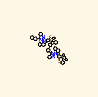 c1cc(-c2ccc3c(c2)-c2ccccc2C32c3ccccc3Sc3cc4c(cc32)c2ccc3ccccc3c2n4-c2nc(-c3ccc4ccccc4c3)c3ccccc3n2)cc(-c2nc(-n3c4cc5c(cc4c4ccc6ccccc6c43)C3(c4ccccc4S5)c4ccccc4-c4ccccc43)nc3ccccc23)c1